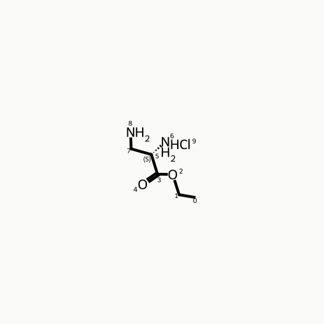 CCOC(=O)[C@@H](N)CN.Cl